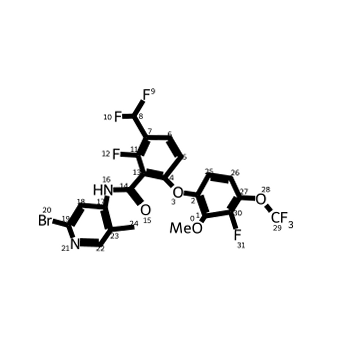 COc1c(Oc2ccc(C(F)F)c(F)c2C(=O)Nc2cc(Br)ncc2C)ccc(OC(F)(F)F)c1F